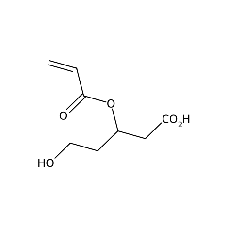 C=CC(=O)OC(CCO)CC(=O)O